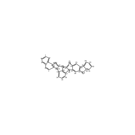 c1ccc2c(c1)ccc1c2nc2n1c1cccc3c1n2c1nc2cc4c(cc2n31)oc1ccccc14